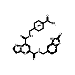 NC(=O)C12CCC(CNC(=O)c3cc(C(=O)NCc4ccc5oc(=O)[nH]c5c4)nc4ccnn34)(CC1)CC2